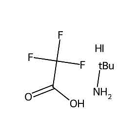 CC(C)(C)N.I.O=C(O)C(F)(F)F